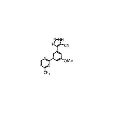 COc1cc(-c2nccc(C(F)(F)F)n2)cc(-c2nn[nH]c2C#N)c1